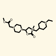 CCN1CCC(C[N+]2(C)CC(N3CCN(CC(=O)OC)CC3)OC2=O)CC1